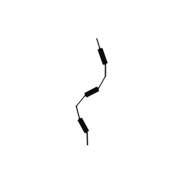 [CH2]C#CCC#CCC#CC